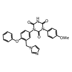 COc1ccc(-n2c(=O)[nH]c(=O)n(-c3ccc(Oc4ccccc4)c(Cn4ccnc4)c3)c2=O)cc1